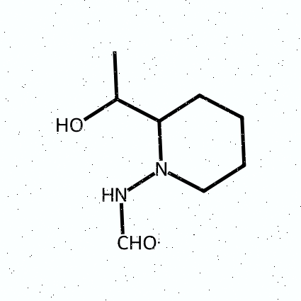 CC(O)C1CCCCN1N[C]=O